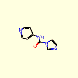 O=C(Nc1ccncc1)n1ccnc1